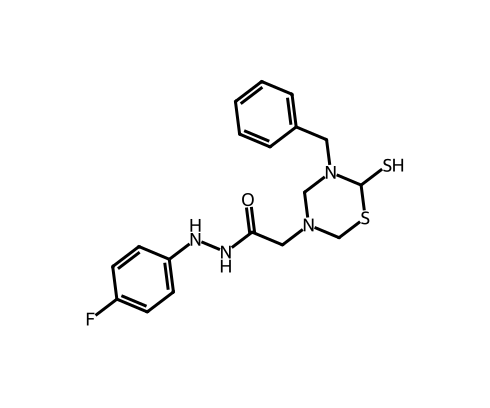 O=C(CN1CSC(S)N(Cc2ccccc2)C1)NNc1ccc(F)cc1